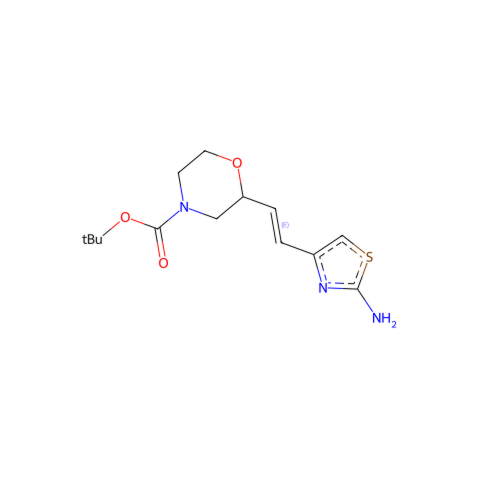 CC(C)(C)OC(=O)N1CCOC(/C=C/c2csc(N)n2)C1